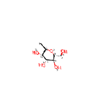 CC1O[C@H](CO)[C@@H](O)[C@H](O)[C@@H]1O